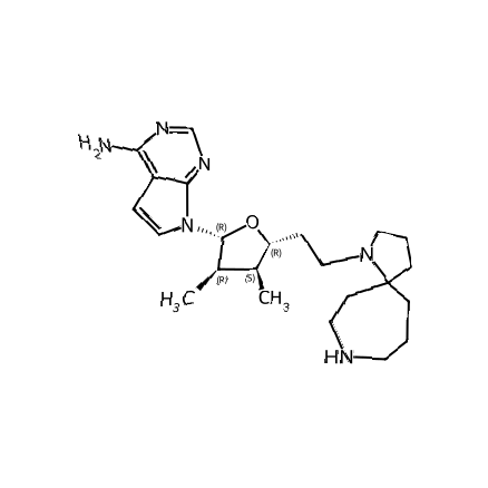 C[C@@H]1[C@H](C)[C@@H](CCN2CCCC23CCCNCC3)O[C@H]1n1ccc2c(N)ncnc21